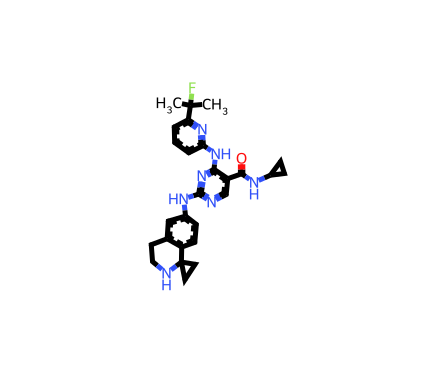 CC(C)(F)c1cccc(Nc2nc(Nc3ccc4c(c3)CCNC43CC3)ncc2C(=O)NC2CC2)n1